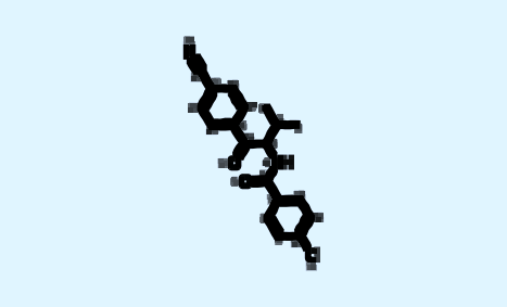 CC(C)C(NC(=O)c1ccc(Cl)cc1)C(=O)c1ccc(C#N)cc1